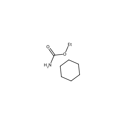 C1CCCCC1.CCOC(N)=O